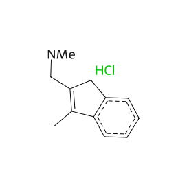 CNCC1=C(C)c2ccccc2C1.Cl